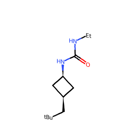 CCNC(=O)N[C@H]1C[C@@H](CC(C)(C)C)C1